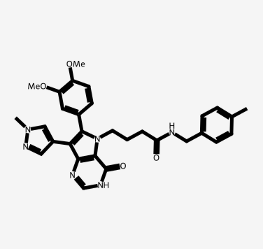 COc1ccc(-c2c(-c3cnn(C)c3)c3nc[nH]c(=O)c3n2CCCC(=O)NCc2ccc(C)cc2)cc1OC